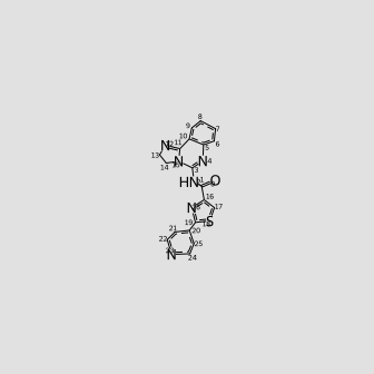 O=C(NC1=Nc2ccccc2C2=NCCN12)c1csc(-c2ccncc2)n1